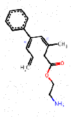 C=C/C=C(\C=C(\C)CC(=O)OCCN)c1ccccc1